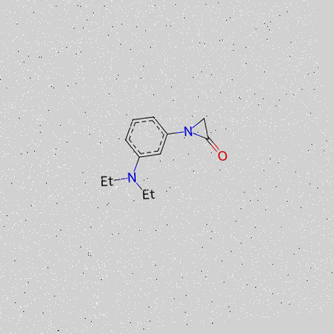 CCN(CC)c1cccc(N2CC2=O)c1